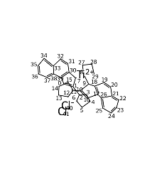 C1=C(C2CCCC2)[CH]([Ti+2]2([CH]3C(C4CCCC4)=Cc4c3ccc3ccccc43)[CH2]C[CH2]2)c2ccc3ccccc3c21.[Cl-].[Cl-]